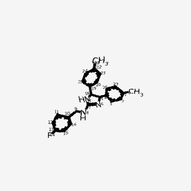 Cc1ccc(C2N=C(NCc3ccc(F)cc3)NC2c2ccc(C)cc2)cc1